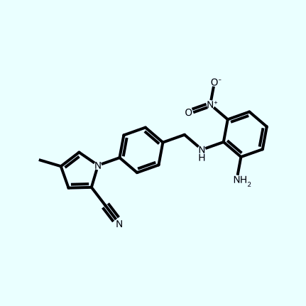 Cc1cc(C#N)n(-c2ccc(CNc3c(N)cccc3[N+](=O)[O-])cc2)c1